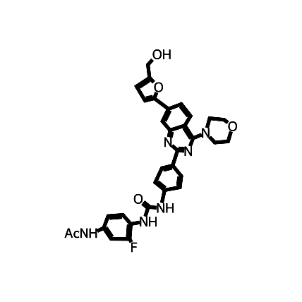 CC(=O)Nc1ccc(NC(=O)Nc2ccc(-c3nc(N4CCOCC4)c4ccc(-c5ccc(CO)o5)cc4n3)cc2)c(F)c1